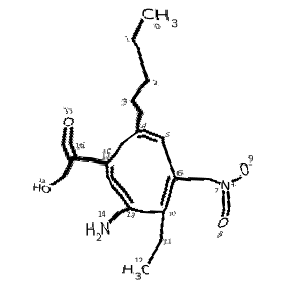 CCCCc1cc([N+](=O)[O-])c(CC)c(N)c1C(=O)O